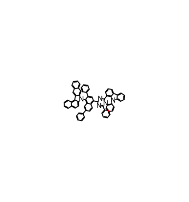 c1ccc(-c2ccc3c(-c4nc(-c5ccccc5)nc(-c5cccc6c7ccccc7n(-c7ccccc7)c56)n4)cc(-c4ccccc4)c(-n4c5cc6ccccc6cc5c5c6ccccc6ccc54)c3c2)cc1